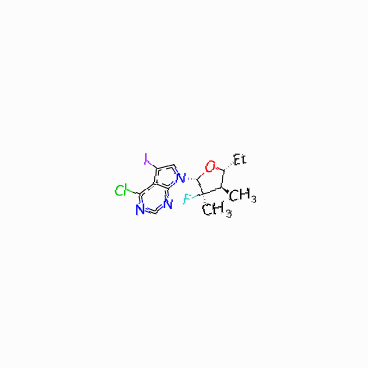 CC[C@H]1O[C@@H](n2cc(I)c3c(Cl)ncnc32)[C@](C)(F)[C@@H]1C